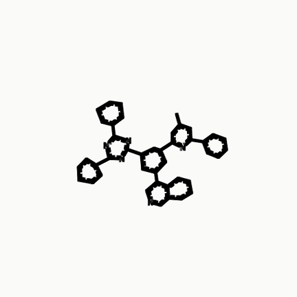 Cc1cc(-c2ccccc2)nc(-c2cc(-c3nc(-c4ccccc4)nc(-c4ccccc4)n3)cc(-c3cncc4ccccc34)c2)c1